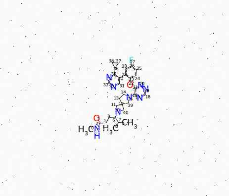 CNC(=O)CCC(C(C)C)N1CC2(CCN(c3ncnnc3Oc3ccc(F)cc3-c3cncnc3C3CC3)C2)C1